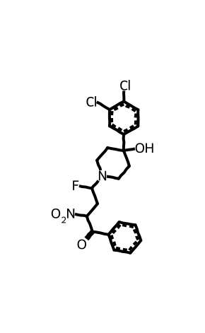 O=C(c1ccccc1)C(CC(F)N1CCC(O)(c2ccc(Cl)c(Cl)c2)CC1)[N+](=O)[O-]